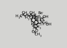 CC(=O)O[C@H]1CC[C@@]2(C)C(=C(C[N+](CCO)(CCO)CCO)C[C@H]3[C@@H]4CC[C@H]([C@H](C)CCCC(C)C)[C@@]4(C)CC[C@@H]32)C1.[Br-]